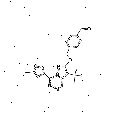 Cc1cc(-c2nncc3c(C(C)(C)C)c(OCc4ccc(C=O)cn4)nn23)no1